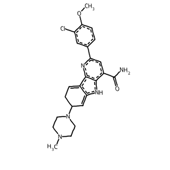 COc1ccc(-c2cc(C(N)=O)c3[nH]c4c(c3n2)=CCC(N2CCN(C)CC2)C=4)cc1Cl